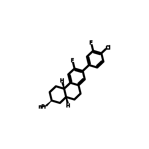 CCC[C@@H]1CC[C@@H]2c3cc(F)c(-c4ccc(Cl)c(F)c4)cc3CC[C@@H]2C1